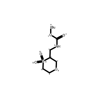 CC(C)(C)OC(=O)NCC1COCCS1(=O)=O